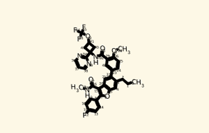 CCCc1cc2oc(-c3ccc(F)cc3)c(C(=O)NC)c2cc1-c1ccc(OC)c(C(=O)NC2(c3ncccn3)CC(OC(F)(F)F)C2)c1